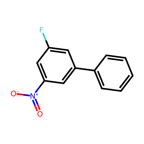 O=[N+]([O-])c1cc(F)cc(-c2ccccc2)c1